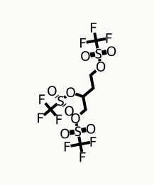 O=S(=O)(OCCC(COS(=O)(=O)C(F)(F)F)OS(=O)(=O)C(F)(F)F)C(F)(F)F